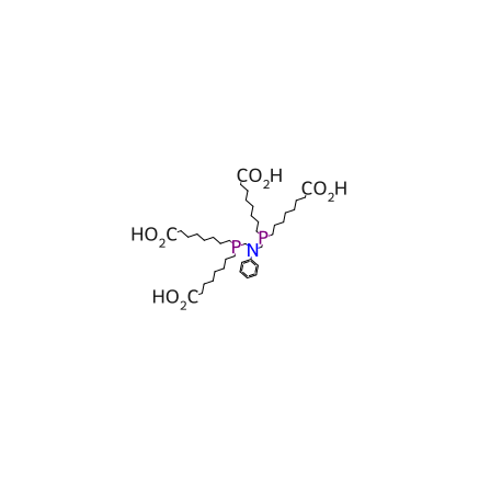 O=C(O)CCCCCCCP(CCCCCCCC(=O)O)CN(CP(CCCCCCCC(=O)O)CCCCCCCC(=O)O)c1ccccc1